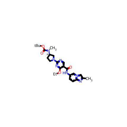 CCOc1nc(N2CC[C@@H](N(C)C(=O)OC(C)(C)C)C2)ncc1C(=O)Nc1ccc2nc(C)cn2c1